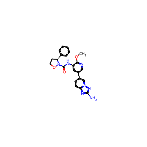 COc1ncc(-c2ccc3nc(N)nn3c2)cc1NC(=O)N1OCC[C@H]1c1ccccc1